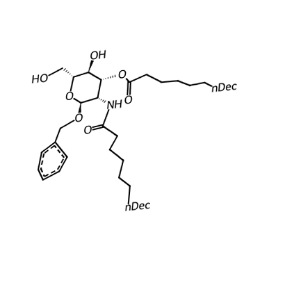 CCCCCCCCCCCCCCCC(=O)N[C@@H]1[C@@H](OCc2ccccc2)O[C@H](CO)[C@@H](O)[C@@H]1OC(=O)CCCCCCCCCCCCCCC